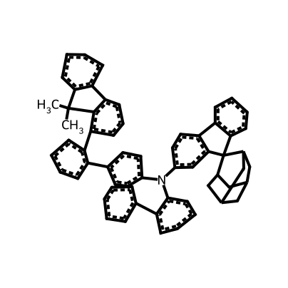 CC1(C)c2ccccc2-c2cccc(-c3ccccc3-c3ccc(N(c4ccc5c(c4)C4(c6ccccc6-5)C5CC6CC(C5)CC4C6)c4ccccc4-c4ccccc4)cc3)c21